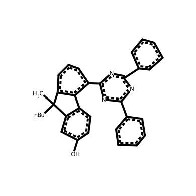 CCCCC1(C)c2cc(O)ccc2-c2c(-c3nc(-c4ccccc4)nc(-c4ccccc4)n3)cccc21